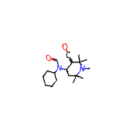 CN1C(C)(C)CC(N(C=O)C2CCCCC2)C(=C=O)C1(C)C